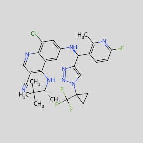 Cc1nc(F)ccc1[C@H](Nc1cc(Cl)c2ncc(C#N)c(N[C@H](C)C(C)(C)C)c2c1)c1cn(C2(C(F)(F)F)CC2)nn1